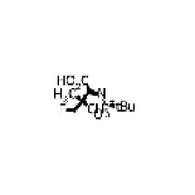 CC(C)(CF)C(=N[S+]([O-])C(C)(C)C)C(=O)O